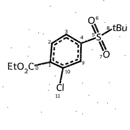 CCOC(=O)c1ccc(S(=O)(=O)C(C)(C)C)cc1Cl